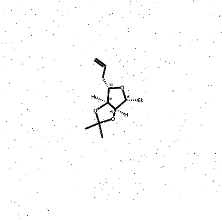 C=CC[C@@H]1O[C@H](CC)[C@H]2OC(C)(C)O[C@H]21